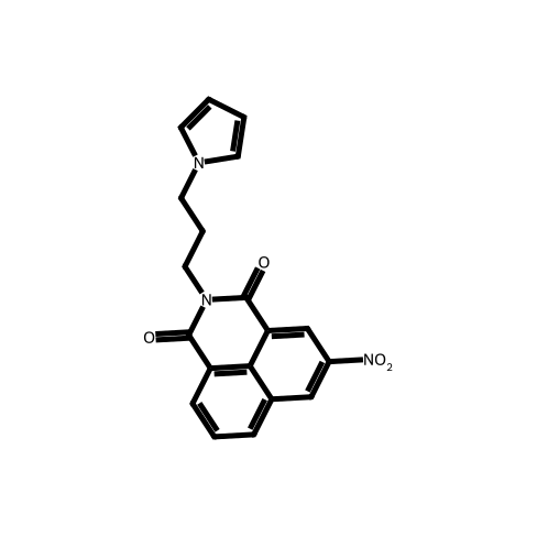 O=C1c2cccc3cc([N+](=O)[O-])cc(c23)C(=O)N1CCCn1cccc1